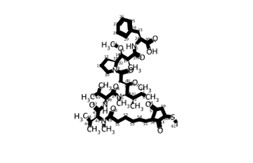 CC[C@H](C)[C@@H]([C@@H](CC(=O)N1CCC[C@H]1[C@H](OC)[C@@H](C)C(=O)N[C@@H](Cc1ccccc1)C(=O)O)OC)N(C)C(=O)[C@@H](NC(=O)[C@H](C(C)C)N(C)C(=O)CCCCCC1C(=O)CC(SI)C1=O)C(C)C